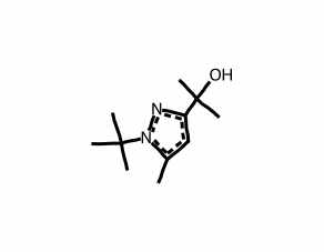 Cc1cc(C(C)(C)O)nn1C(C)(C)C